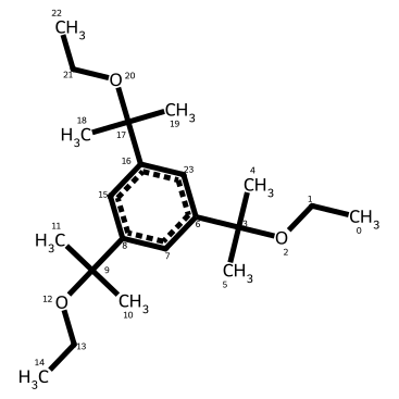 CCOC(C)(C)c1cc(C(C)(C)OCC)cc(C(C)(C)OCC)c1